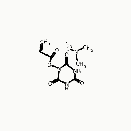 C=CC(=O)On1c(=O)[nH]c(=O)[nH]c1=O.CN(C)C